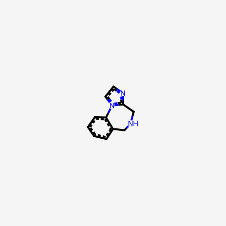 c1ccc2c(c1)CNCc1nccn1-2